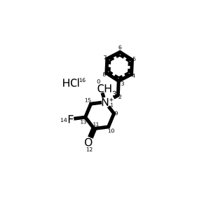 C[N+]1(Cc2ccccc2)CCC(=O)C(F)C1.Cl